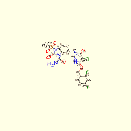 CS(=O)(=O)n1c(=O)n(C(N)=O)c2cc(Cn3cnc(OCc4ccc(F)cc4F)c(Cl)c3=O)ccc21